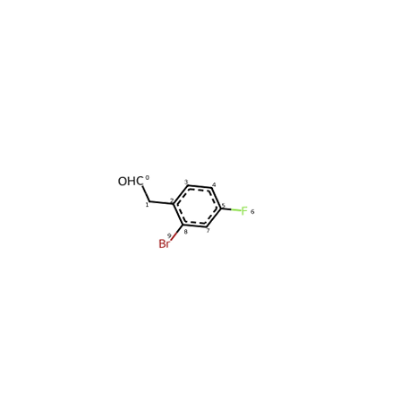 O=CCc1ccc(F)cc1Br